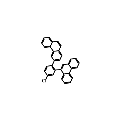 Clc1ccc(-c2ccc3ccc4ccccc4c3c2)c(-c2cc3ccccc3c3ccccc23)c1